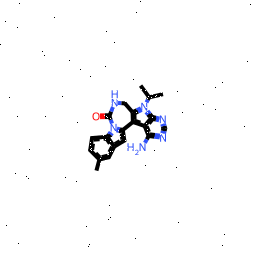 Cc1ccc2c(c1)cc1n2C(=O)NCc2c-1c1c(N)ncnc1n2C(C)C